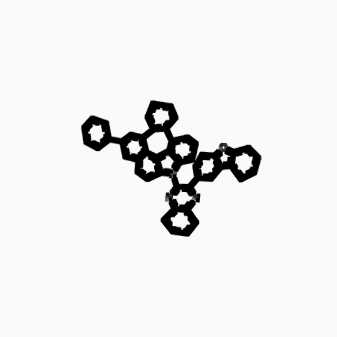 c1ccc(-c2cc3c4c(ccc5c4c4c(cccc4n5-c4nc5ccccc5nc4-c4ccc5oc6ccccc6c5c4)-c4ccccc4-3)c2)cc1